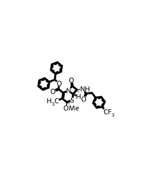 CO[C@H]1S[C@H]2[C@@H](NC(=O)Cc3ccc(C(F)(F)F)cc3)C(=O)N2C(C(=O)OC(c2ccccc2)c2ccccc2)=C1C